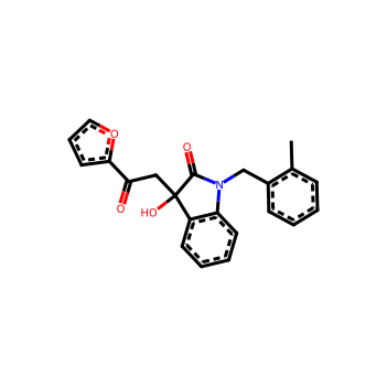 Cc1ccccc1CN1C(=O)C(O)(CC(=O)c2ccco2)c2ccccc21